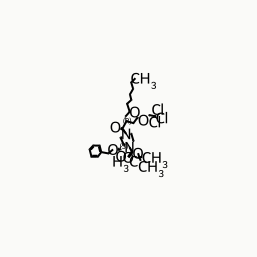 CCCCCCCC[C@H](CC(=O)OCC(Cl)(Cl)Cl)C(=O)N1CCN(C(=O)OC(C)(C)C)[C@H](C(=O)OCc2ccccc2)C1